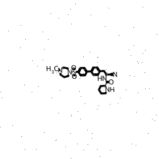 CN1CCCN(S(=O)(=O)c2ccc(-c3ccc(CC(C#N)NC(=O)[C@@H]4CCCCN4)cc3)cc2)CC1